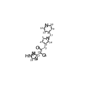 O=C(Cc1ccn(Cc2ccncc2)c1)C(=O)c1nc[nH]n1